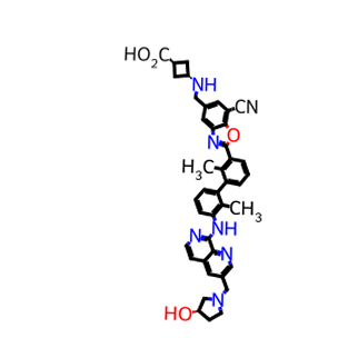 Cc1c(Nc2nccc3cc(CN4CC[C@@H](O)C4)cnc23)cccc1-c1cccc(-c2nc3cc(CN[C@H]4C[C@H](C(=O)O)C4)cc(C#N)c3o2)c1C